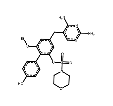 CCOc1cc(Cc2cnc(N)nc2N)cc(OS(=O)(=O)N2CCOCC2)c1-c1ccc(O)cc1